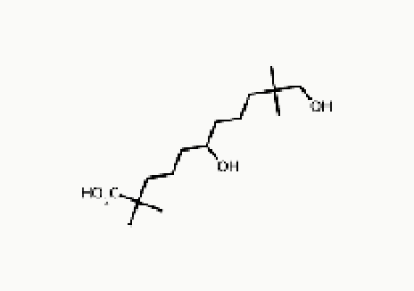 CC(C)(CO)CCCC(O)CCCC(C)(C)C(=O)O